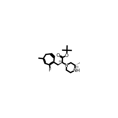 CC1=CC(F)=C(C[C@@H](C(=O)OC(C)(C)C)N2CCN[C@@H](C)C2)C#CC1